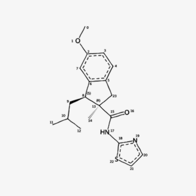 COc1ccc2c(c1)[C@H](CC(C)C)[C@](C)(C(=O)Nc1nccs1)C2